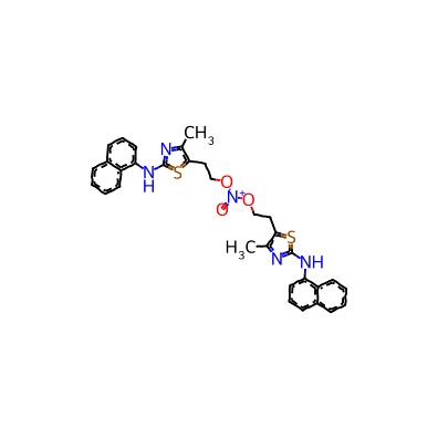 Cc1nc(Nc2cccc3ccccc23)sc1CCO[N+](=O)OCCc1sc(Nc2cccc3ccccc23)nc1C